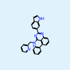 c1ccc(-c2cccc3nc(-c4ccc5cc[nH]c5c4)nc(NCc4ccccn4)c23)cc1